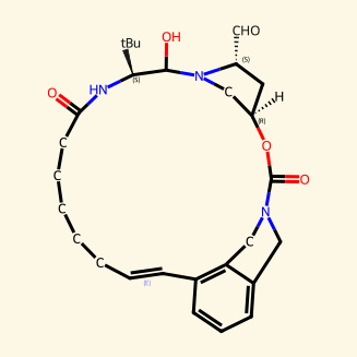 CC(C)(C)[C@@H]1NC(=O)CCCCC/C=C/c2cccc3c2CN(C3)C(=O)O[C@@H]2C[C@@H](C=O)N(C2)C1O